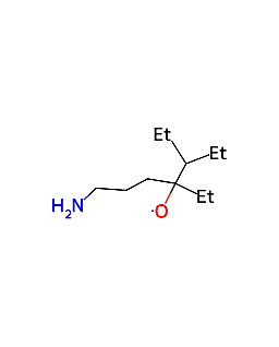 CCC(CC)C([O])(CC)CCCN